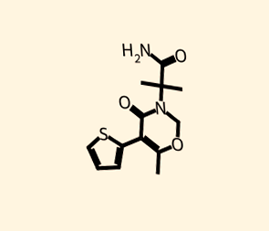 CC1=C(c2cccs2)C(=O)N(C(C)(C)C(N)=O)CO1